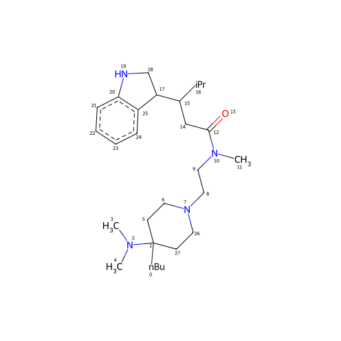 CCCCC1(N(C)C)CCN(CCN(C)C(=O)CC(C(C)C)C2CNc3ccccc32)CC1